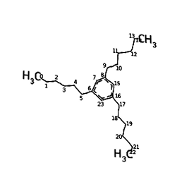 CCCCCCc1cc(CCCCCC)cc(CCCCCC)c1